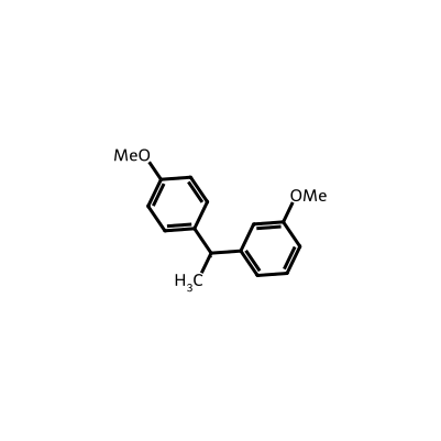 COc1ccc([C](C)c2cccc(OC)c2)cc1